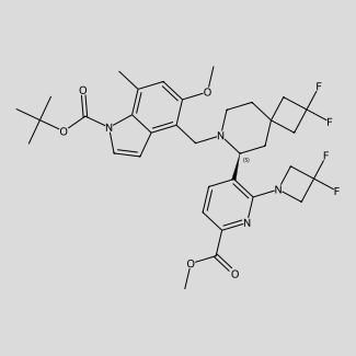 COC(=O)c1ccc([C@@H]2CC3(CCN2Cc2c(OC)cc(C)c4c2ccn4C(=O)OC(C)(C)C)CC(F)(F)C3)c(N2CC(F)(F)C2)n1